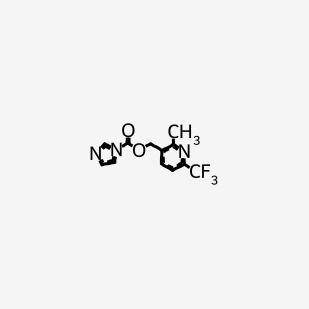 Cc1nc(C(F)(F)F)ccc1COC(=O)n1ccnc1